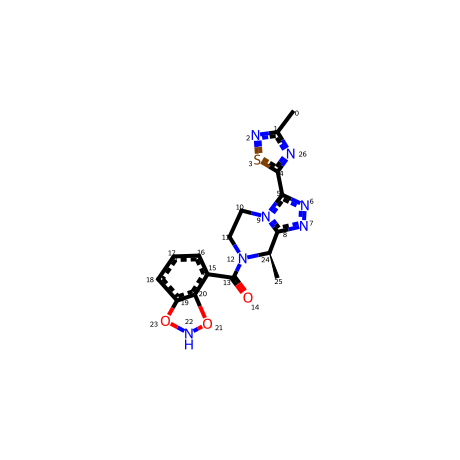 Cc1nsc(-c2nnc3n2CCN(C(=O)c2cccc4c2ONO4)[C@@H]3C)n1